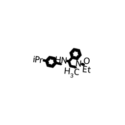 CCC(=O)N1c2ccccc2C(NCc2ccc(C(C)C)cc2)CC1C